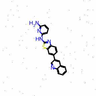 Nc1cccc(Nc2nc3ccc(-c4cnc5ccccc5c4)cc3s2)n1